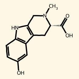 CN1Cc2[nH]c3ccc(O)cc3c2C[C@H]1C(=O)O